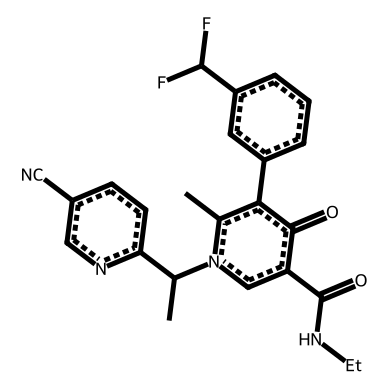 CCNC(=O)c1cn(C(C)c2ccc(C#N)cn2)c(C)c(-c2cccc(C(F)F)c2)c1=O